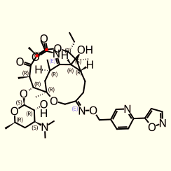 CC[C@H]1OC(=O)[C@H](C)C(=O)[C@H](C)[C@@H](O[C@@H]2O[C@H](C)C[C@H](N(C)C)[C@H]2O)[C@@]2(C)C[C@@H](C)/C(=N\C(C)=O)[C@H](C)[C@@H](CC/C(=N\OCc3ccc(-c4ccno4)nc3)CO2)[C@]1(C)O